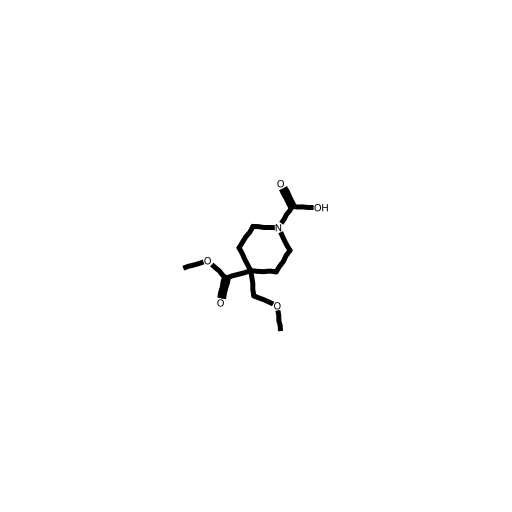 COCC1(C(=O)OC)CCN(C(=O)O)CC1